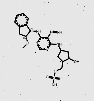 CO[C@H]1Cc2ccccc2[C@H]1Nc1ncnc(NC2CC(O)C(COS(N)(=O)=O)C2)c1N=N